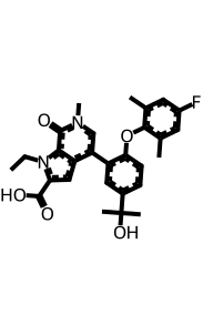 CCn1c(C(=O)O)cc2c(-c3cc(C(C)(C)O)ccc3Oc3c(C)cc(F)cc3C)cn(C)c(=O)c21